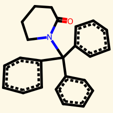 O=C1CCCCN1C(c1ccccc1)(c1ccccc1)c1ccccc1